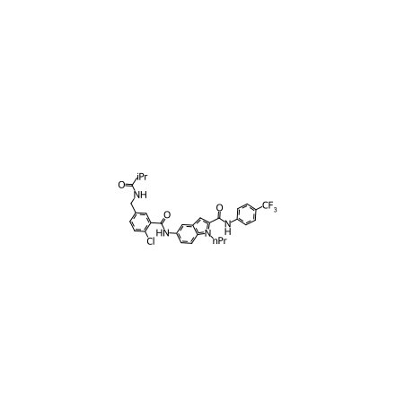 CCCn1c(C(=O)Nc2ccc(C(F)(F)F)cc2)cc2cc(NC(=O)c3cc(CNC(=O)C(C)C)ccc3Cl)ccc21